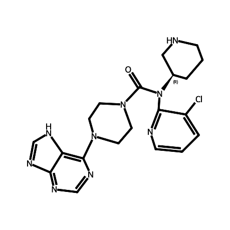 O=C(N1CCN(c2ncnc3nc[nH]c23)CC1)N(c1ncccc1Cl)[C@@H]1CCCNC1